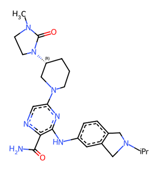 CC(C)N1Cc2ccc(Nc3nc(N4CCC[C@@H](N5CCN(C)C5=O)C4)cnc3C(N)=O)cc2C1